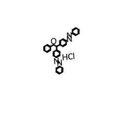 Cl.O=C(c1ccccc1)C(c1ccc(/N=N/c2ccccc2)cc1)c1ccc(/N=N/c2ccccc2)cc1